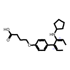 C/C=C(\C(=C/C)NC1CCCC1)c1ccc(OCCCC(=O)O)cc1